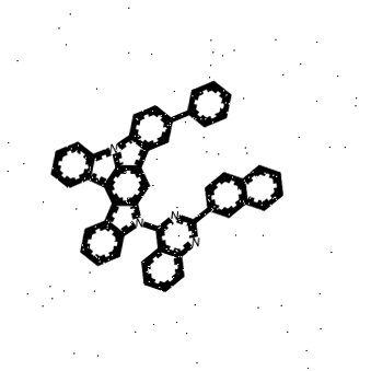 c1ccc(-c2ccc3c(c2)c2cc4c(c5ccccc5n4-c4nc(-c5ccc6ccccc6c5)nc5ccccc45)c4c5ccccc5n3c24)cc1